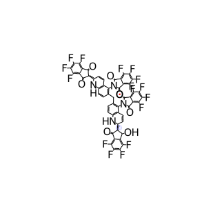 O=C1C(=C2C=Cc3c(ccc(Cc4ccc5c(c4N4C(=O)c6c(F)c(F)c(F)c(F)c6C4=O)C=C/C(=C4/C(=O)c6c(F)c(F)c(F)c(F)c6C4O)N5)c3N3C(=O)c4c(F)c(F)c(F)c(F)c4C3=O)N2)C(=O)c2c(F)c(F)c(F)c(F)c21